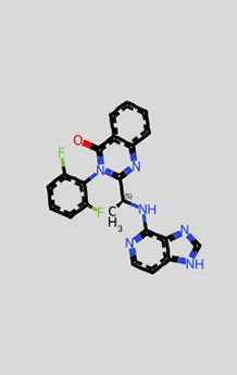 C[C@H](Nc1nccc2[nH]cnc12)c1nc2ccccc2c(=O)n1-c1c(F)cccc1F